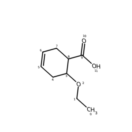 CCOC1CC=CCC1C(=O)O